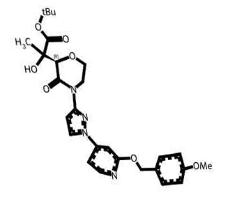 COc1ccc(COc2cc(-n3ccc(N4CCO[C@H](C(C)(O)C(=O)OC(C)(C)C)C4=O)n3)ccn2)cc1